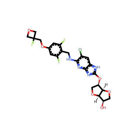 O[C@@H]1CO[C@H]2[C@@H]1OC[C@H]2Oc1nc2nc(NCc3c(F)cc(OCC4(F)COC4)cc3F)c(Cl)cc2[nH]1